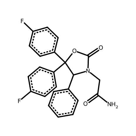 NC(=O)CN1C(=O)OC(c2ccc(F)cc2)(c2ccc(F)cc2)C1c1ccccc1